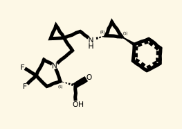 O=C(O)[C@@H]1CC(F)(F)CN1CC1(CN[C@@H]2C[C@H]2c2ccccc2)CC1